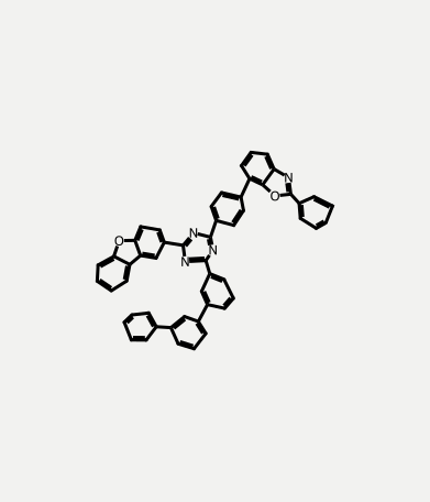 c1ccc(-c2cccc(-c3cccc(-c4nc(-c5ccc(-c6cccc7nc(-c8ccccc8)oc67)cc5)nc(-c5ccc6oc7ccccc7c6c5)n4)c3)c2)cc1